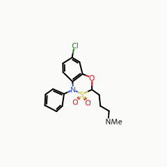 CNCCCC1Oc2cc(Cl)ccc2N(c2ccccc2)S1(=O)=O